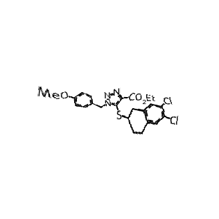 CCOC(=O)c1nnn(Cc2ccc(OC)cc2)c1SC1CCc2cc(Cl)c(Cl)cc2C1